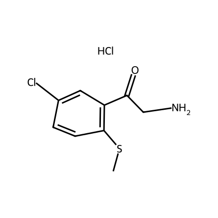 CSc1ccc(Cl)cc1C(=O)CN.Cl